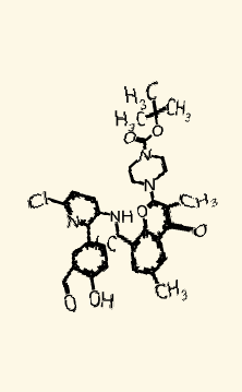 Cc1cc(C(C)Nc2ccc(Cl)nc2-c2ccc(O)c(C=O)c2)c2oc(N3CCN(C(=O)OC(C)(C)C)CC3)c(C)c(=O)c2c1